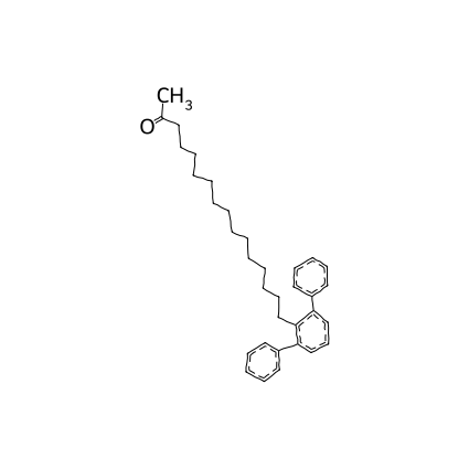 CC(=O)CCCCCCCCCCCCCCc1c(-c2ccccc2)cccc1-c1ccccc1